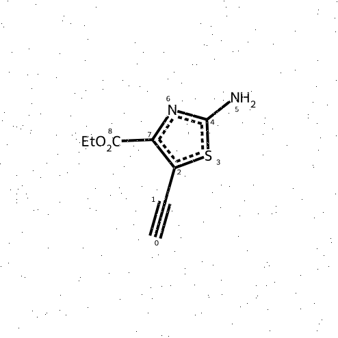 C#Cc1sc(N)nc1C(=O)OCC